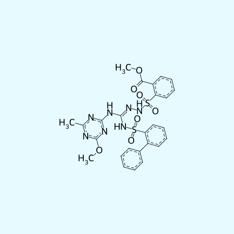 COC(=O)c1ccccc1S(=O)(=O)NN=C(Nc1nc(C)nc(OC)n1)NS(=O)(=O)c1ccccc1-c1ccccc1